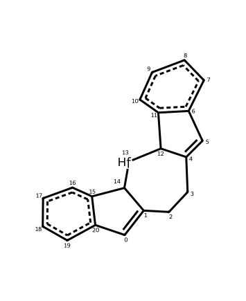 C1=C2CCC3=Cc4ccccc4[CH]3[Hf][CH]2c2ccccc21